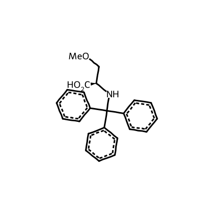 COC[C@@H](NC(c1ccccc1)(c1ccccc1)c1ccccc1)C(=O)O